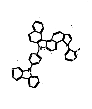 Cc1ccccc1-n1ccc2ccc3c(ccc4c3c3c5ccccc5ccc3n4-c3ccc(-n4c5ccccc5c5ccccc54)cc3)c21